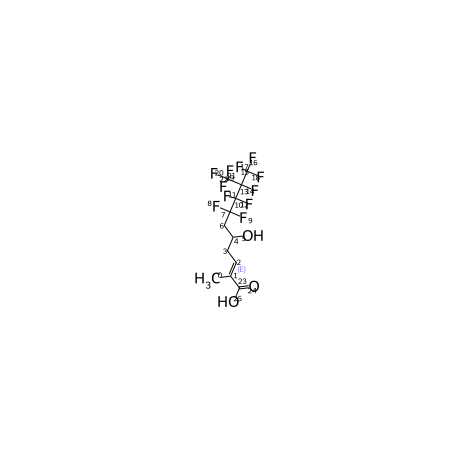 C/C(=C\CC(O)CC(F)(F)C(F)(F)C(F)(C(F)(F)F)C(F)(F)F)C(=O)O